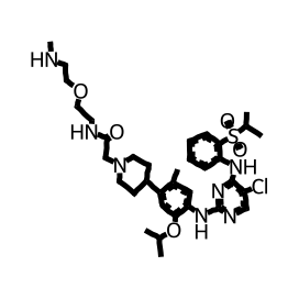 CNCCOCCNC(=O)CN1CCC(c2cc(OC(C)C)c(Nc3ncc(Cl)c(Nc4ccccc4S(=O)(=O)C(C)C)n3)cc2C)CC1